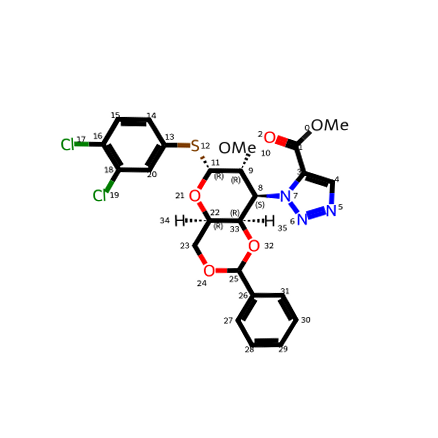 COC(=O)c1cnnn1[C@@H]1[C@@H](OC)[C@@H](Sc2ccc(Cl)c(Cl)c2)O[C@@H]2COC(c3ccccc3)O[C@H]12